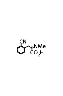 CN[C@@H](Cc1ccccc1C#N)C(=O)O